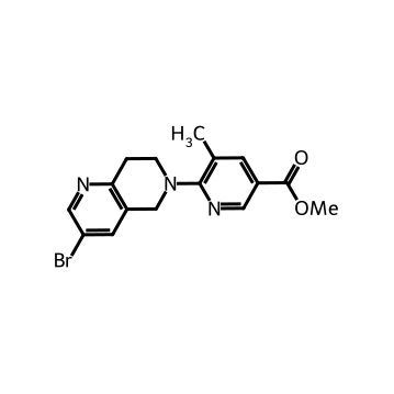 COC(=O)c1cnc(N2CCc3ncc(Br)cc3C2)c(C)c1